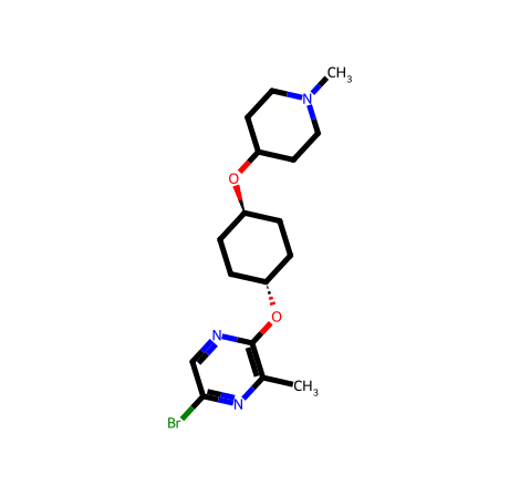 Cc1nc(Br)cnc1O[C@H]1CC[C@H](OC2CCN(C)CC2)CC1